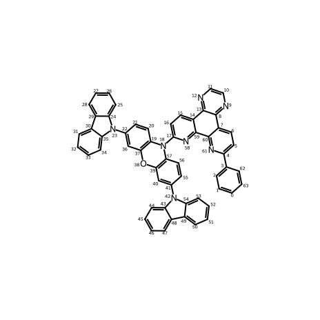 c1ccc(-c2ccc3c4nccnc4c4ccc(N5c6ccc(-n7c8ccccc8c8ccccc87)cc6Oc6cc(-n7c8ccccc8c8ccccc87)ccc65)nc4c3n2)cc1